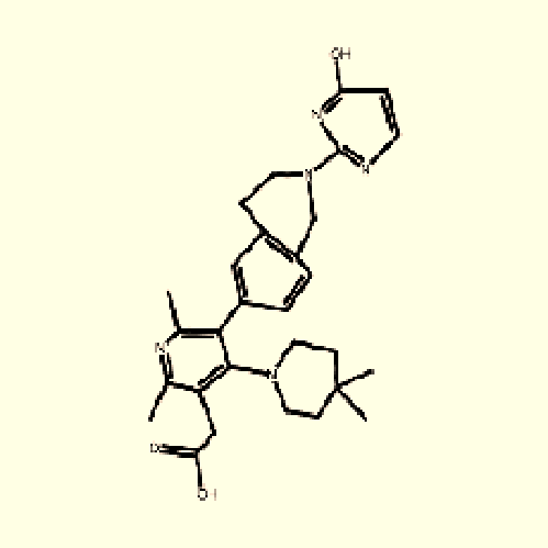 Cc1nc(C)c(-c2ccc3c(c2)CCN(c2nccc(O)n2)C3)c(N2CCC(C)(C)CC2)c1CC(=O)O